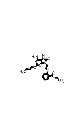 CCCCOc1nc(N)c2[nH]c(=O)n(CCOc3ccccc3C(=O)OCC)c2n1